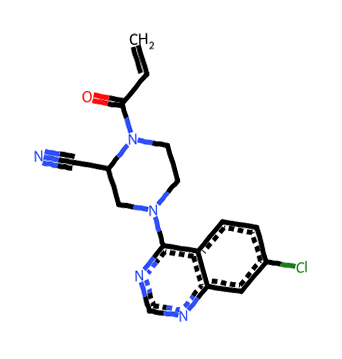 C=CC(=O)N1CCN(c2ncnc3cc(Cl)ccc23)CC1C#N